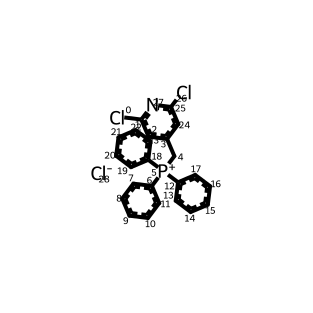 Clc1cc(C[P+](c2ccccc2)(c2ccccc2)c2ccccc2)cc(Cl)n1.[Cl-]